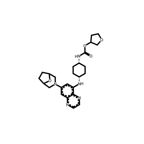 O=C(N[C@H]1CC[C@@H](Nc2cc(N3CC4CCC(C3)O4)cc3nccnc23)CC1)OC1CCOC1